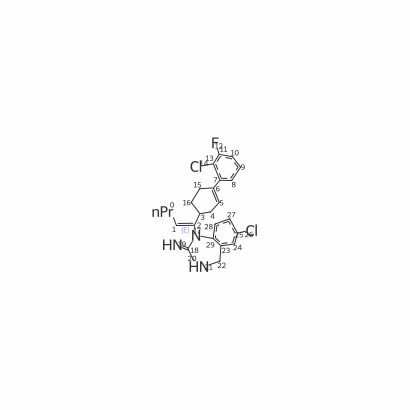 CCC/C=C(\C1CC=C(c2cccc(F)c2Cl)CC1)N1C(=N)CNCc2cc(Cl)ccc21